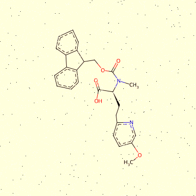 COc1ccc(CC[C@@H](C(=O)O)N(C)C(=O)OCC2c3ccccc3-c3ccccc32)nc1